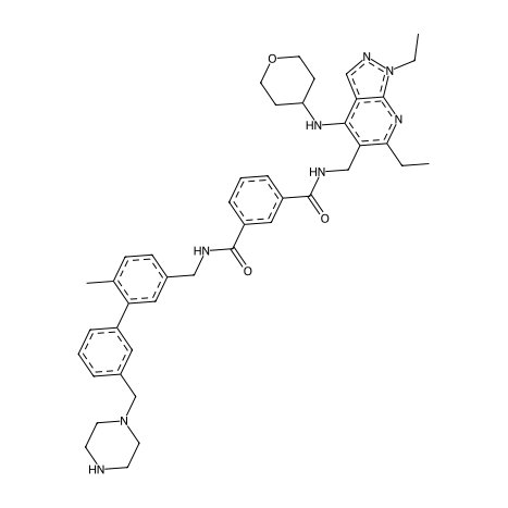 CCc1nc2c(cnn2CC)c(NC2CCOCC2)c1CNC(=O)c1cccc(C(=O)NCc2ccc(C)c(-c3cccc(CN4CCNCC4)c3)c2)c1